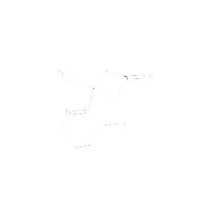 C=C1CC(C#N)(c2ncccc2Cl)C1